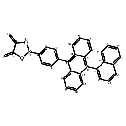 C=C1OB(c2ccc(-c3c4ccccc4c(-c4cccc5ccccc45)c4ccccc34)cc2)OC1=C